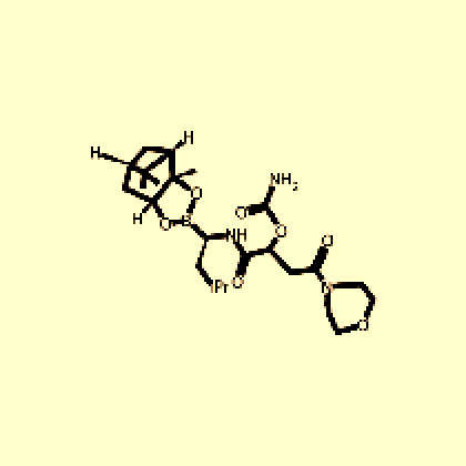 CC(C)C[C@H](NC(=O)C(CC(=O)N1CCOCC1)OC(N)=O)B1O[C@@H]2C[C@@H]3C[C@@H](C3(C)C)[C@]2(C)O1